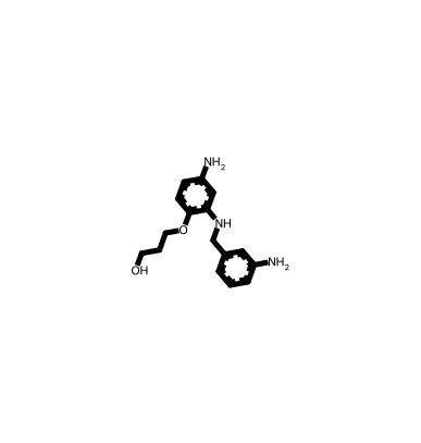 Nc1cccc(CNc2cc(N)ccc2OCCCO)c1